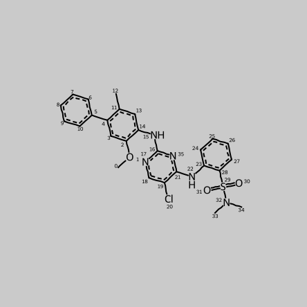 COc1cc(-c2ccccc2)c(C)cc1Nc1ncc(Cl)c(Nc2ccccc2S(=O)(=O)N(C)C)n1